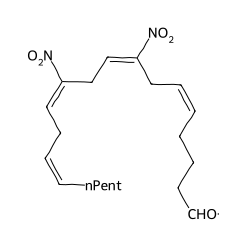 CCCCC/C=C\C/C=C(\C/C=C(\C/C=C\CCC[C]=O)[N+](=O)[O-])[N+](=O)[O-]